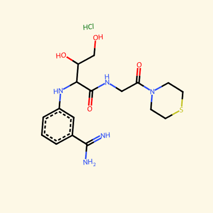 Cl.N=C(N)c1cccc(NC(C(=O)NCC(=O)N2CCSCC2)C(O)CO)c1